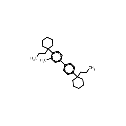 CCCC1(c2ccc(-c3ccc(C4(CCC)CCCCC4)c(C)c3)cc2)CCCCC1